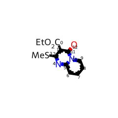 CCOC(=O)c1c(SC)nc2ccccn2c1=O